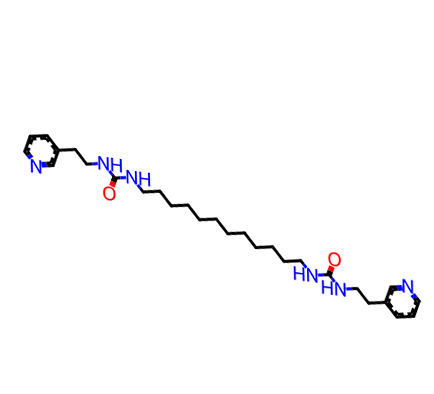 O=C(NCCCCCCCCCCCCNC(=O)NCCc1cccnc1)NCCc1cccnc1